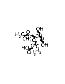 C=C(C)C(=O)OCC(C)OCC(C)OCC(C)O.OCCCCCCO